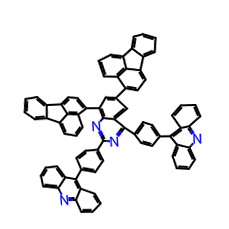 c1ccc2c(c1)-c1cccc3c(-c4cc(-c5ccc6c7c(cccc57)-c5ccccc5-6)c5nc(-c6ccc(-c7c8ccccc8nc8ccccc78)cc6)nc(-c6ccc(-c7c8ccccc8nc8ccccc78)cc6)c5c4)ccc-2c13